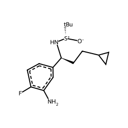 CC(C)(C)[S@+]([O-])N[C@@H](CCC1CC1)c1ccc(F)c(N)c1